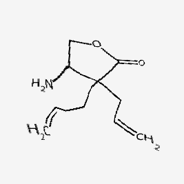 C=CCC1(CC=C)C(=O)OCC1N